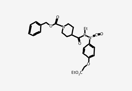 CCOC(=O)COc1ccc([N+](=C=O)N(CC)C(=O)C2CCN(C(=O)OCc3ccccc3)CC2)cc1